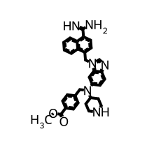 COC(=O)c1ccc(CN(c2ccc3ncn(Cc4ccc(C(=N)N)c5ccccc45)c3c2)C2CCNCC2)cc1